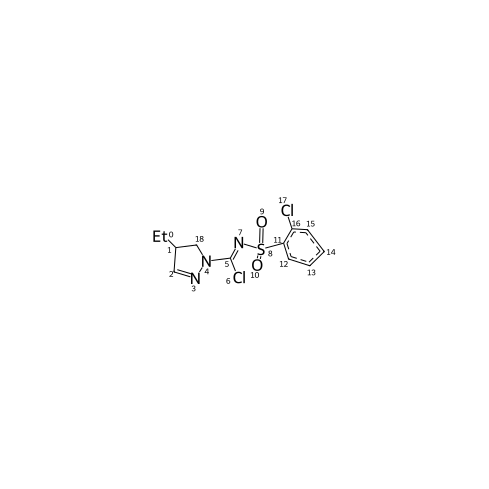 CCC1C=NN(/C(Cl)=N/S(=O)(=O)c2ccccc2Cl)C1